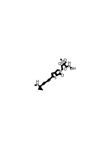 CNC1(C#CC#Cc2cc3c(s2)C(=O)N(CCC(C)(C(=O)NO)S(C)(=O)=O)C3)CC1